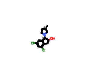 C[C@@H]1CCN([C@@H]2c3cc(Cl)cc(Cl)c3C[C@H]2O)C1